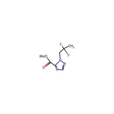 COC(=O)c1ncnn1CC(C)(F)F